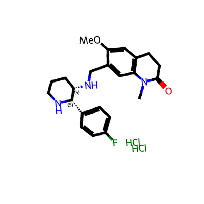 COc1cc2c(cc1CN[C@H]1CCCN[C@H]1c1ccc(F)cc1)N(C)C(=O)CC2.Cl.Cl